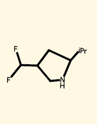 CC(C)C1CC(C(F)F)CN1